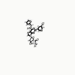 CNC(=O)[C@H]1O[C@@H](n2cnc3c(NCc4cccs4)nc(-c4cncc(Cl)c4)nc32)C[C@@H]1O